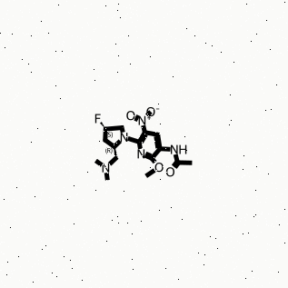 COc1nc(N2C[C@@H](F)C[C@@H]2CN(C)C)c([N+](=O)[O-])cc1NC(C)=O